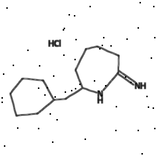 Cl.N=C1CCCCC(CC2CCCCC2)N1